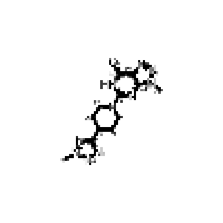 Cn1nnc(C2CCN(c3nc4c(nnn4C)c(=O)[nH]3)CC2)n1